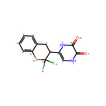 O=c1[nH]cc(C2Cc3ccccc3SC2(F)F)[nH]c1=O